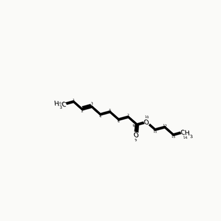 CCC=CCCCCC(=O)OCCCC